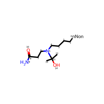 CCCCCCCCCCCCCN(CCC(N)=O)C(C)(C)O